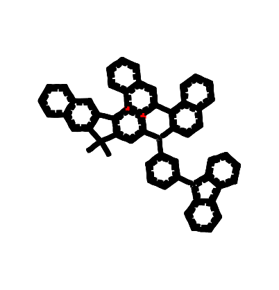 CC1(C)c2cc(N(c3cccc(-n4c5ccccc5c5ccccc54)c3)c3ccc4ccccc4c3-c3ccc4ccccc4c3)ccc2-c2cc3ccccc3cc21